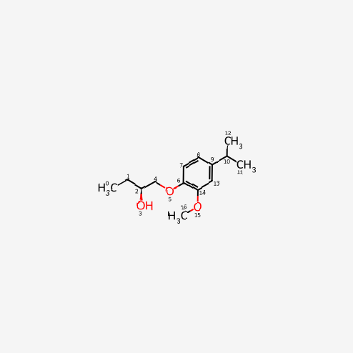 CC[C@H](O)COc1ccc(C(C)C)cc1OC